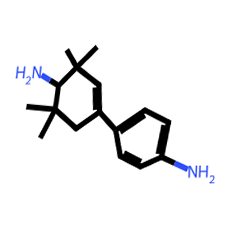 CC1(C)C=C(c2ccc(N)cc2)CC(C)(C)C1N